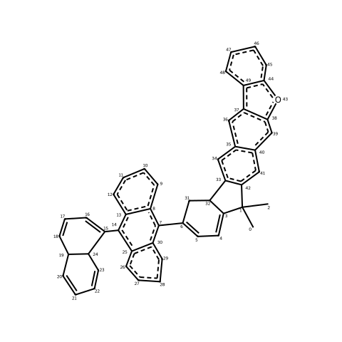 CC1(C)C2=CC=C(c3c4ccccc4c(C4=CC=CC5C=CC=CC45)c4ccccc34)CC2c2cc3cc4c(cc3cc21)oc1ccccc14